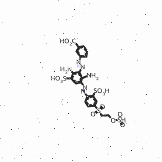 Nc1c(/N=N/c2ccc(S(=O)(=O)CCO[SH](=O)=O)cc2S(=O)(=O)O)cc(S(=O)(=O)O)c(N)c1/N=N/c1cccc(C(=O)O)c1